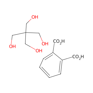 O=C(O)c1ccccc1C(=O)O.OCC(CO)(CO)CO